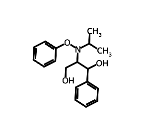 CC(C)N(Oc1ccccc1)C(CO)C(O)c1ccccc1